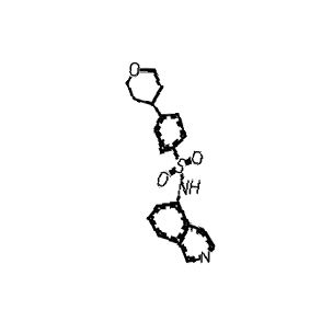 O=S(=O)(Nc1cccc2cnccc12)c1ccc(C2CCOCC2)cc1